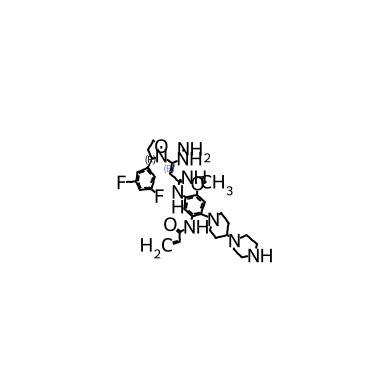 C=CC(=O)Nc1cc(NC(=N)/C=C(\NN)N2OCC[C@@H]2c2cc(F)cc(F)c2)c(OC)cc1N1CCC(N2CCNCC2)CC1